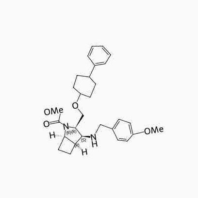 COC(=O)N1[C@@H]2CC[C@@H]2[C@H](NCc2ccc(OC)cc2)[C@@H]1COC1CCC(c2ccccc2)CC1